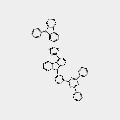 C1=CC2c3c(-c4nnc(-c5ccc6c7ccccc7n(-c7ccccc7)c6c5)s4)cccc3N(c3cccc(-c4nc(-c5ccccc5)nc(-c5ccccc5)n4)c3)C2C=C1